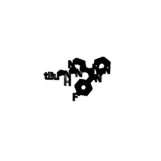 CC(C)(C)CNc1nccc(-c2c(-c3ccc(F)cc3)nc3ncccn23)n1